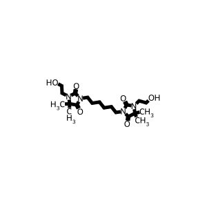 CC1(C)C(=O)N(CCCCCCN2C(=O)N(CCO)C(C)(C)C2=O)C(=O)N1CCO